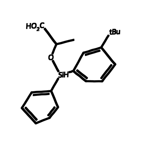 CC(O[SiH](c1ccccc1)c1cccc(C(C)(C)C)c1)C(=O)O